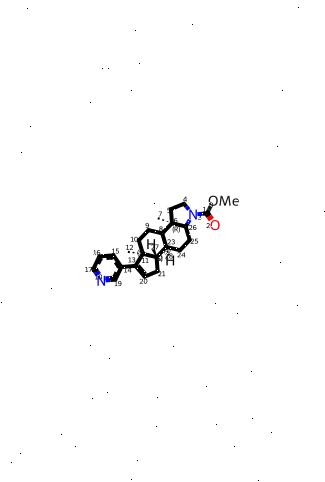 COC(=O)N1CC[C@]2(C)C3CC[C@]4(C)C(c5cccnc5)=CC[C@H]4[C@@H]3CCC12